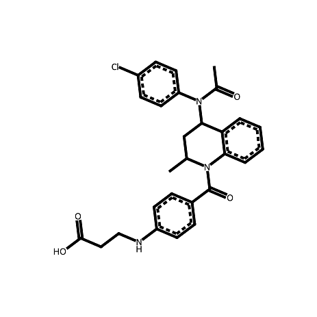 CC(=O)N(c1ccc(Cl)cc1)C1CC(C)N(C(=O)c2ccc(NCCC(=O)O)cc2)c2ccccc21